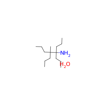 CCCC(C)(CCC)C(N)(CCC)CCC.O